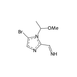 COC(C)n1c(Br)cnc1C=N